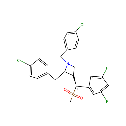 CS(=O)(=O)[C@H](c1cc(F)cc(F)c1)C1CN(Cc2ccc(Cl)cc2)C1Cc1ccc(Cl)cc1